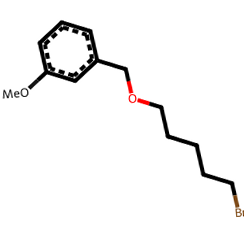 COc1cccc(COCCCCCBr)c1